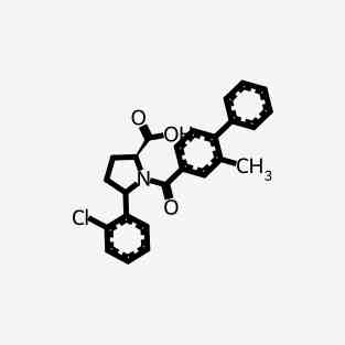 Cc1cc(C(=O)N2C(c3ccccc3Cl)CC[C@H]2C(=O)O)ccc1-c1ccccc1